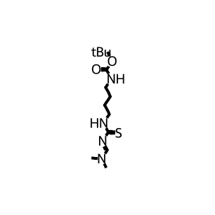 CN(C)C=NC(=S)NCCCCNC(=O)OC(C)(C)C